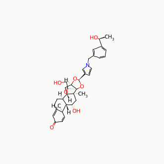 C[C@H](O)c1cccc(Cn2ccc([C@@H]3O[C@@H]4C[C@H]5[C@@H]6CCC7=CC(=O)C=C[C@]7(C)[C@H]6[C@@H](O)C[C@]5(C)[C@]4(C(=O)CO)O3)c2)c1